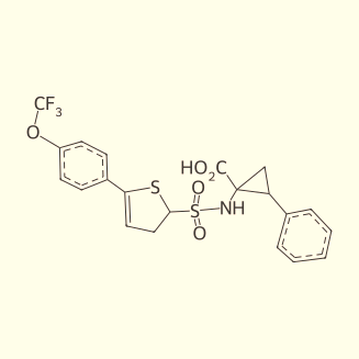 O=C(O)C1(NS(=O)(=O)C2CC=C(c3ccc(OC(F)(F)F)cc3)S2)CC1c1ccccc1